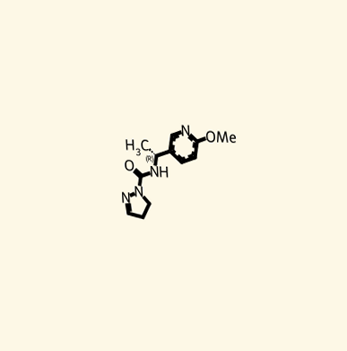 COc1ccc([C@@H](C)NC(=O)N2CCC=N2)cn1